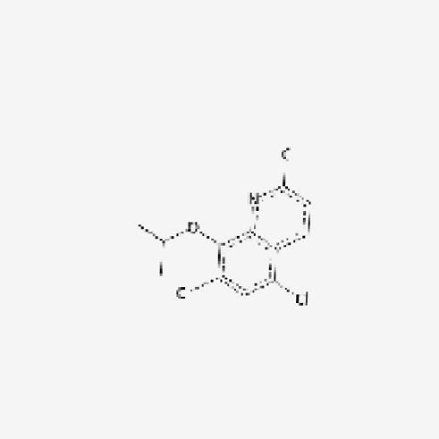 CC(C)Oc1c(Cl)cc(Cl)c2ccc(Cl)nc12